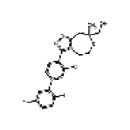 CC1(CO)Cc2nnc(-c3ccc(-c4cc(Cl)ccc4F)cc3Cl)n2CCS1